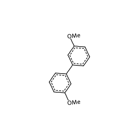 COc1cccc(-c2cccc(OC)c2)c1